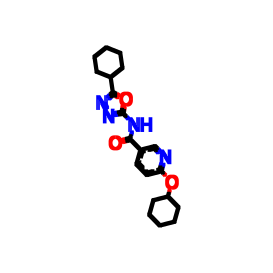 O=C(Nc1nnc(C2CCCCC2)o1)c1ccc(OC2CCCCC2)nc1